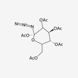 CC(=O)OCC1O[C@](N=[N+]=[N-])(OC(C)=O)C(OC(C)=O)[C@@H](OC(C)=O)[C@@H]1OC(C)=O